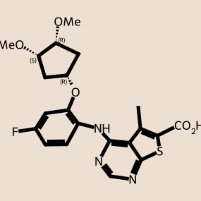 CO[C@H]1C[C@@H](Oc2cc(F)ccc2Nc2ncnc3sc(C(=O)O)c(C)c23)C[C@H]1OC